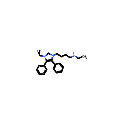 CCNCCCCN1CN(CC)C(c2ccccc2)=C1c1ccccc1